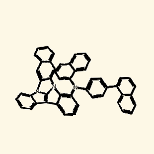 c1ccc2cc3c(cc2c1)n1c2ccccc2c2c4cccc(N(c5ccc(-c6cccc7ccccc67)cc5)c5cccc6ccccc56)c4n3c21